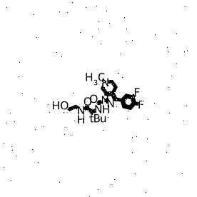 CN1CCc2c(-c3ccc(F)c(F)c3)nn(C(=O)N[C@H](C(=O)NCCO)C(C)(C)C)c2C1